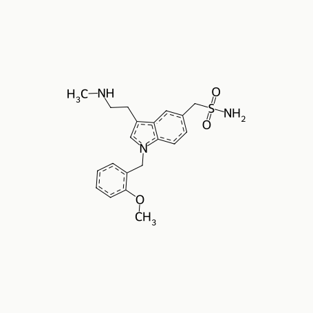 CNCCc1cn(Cc2ccccc2OC)c2ccc(CS(N)(=O)=O)cc12